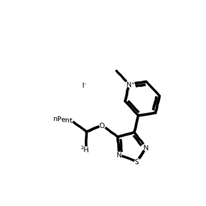 [2H]C(CCCCC)Oc1nsnc1-c1ccc[n+](C)c1.[I-]